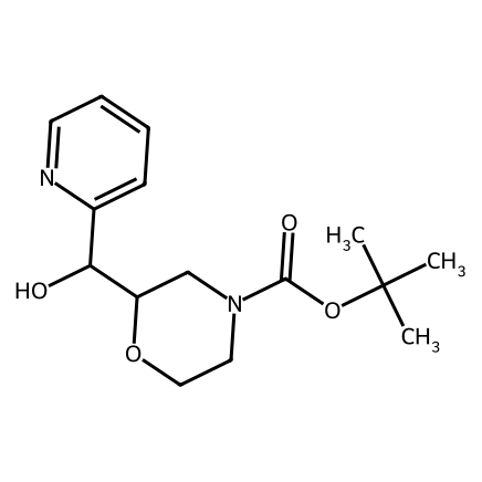 CC(C)(C)OC(=O)N1CCOC(C(O)c2ccccn2)C1